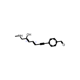 CNC/C(O)=C/C=C/C#Cc1ccc(C=O)cc1